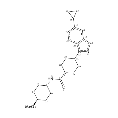 CO[C@H]1CC[C@H](NC(=O)N2CCC(n3ncc4cc(C5CC5)ccc43)CC2)CC1